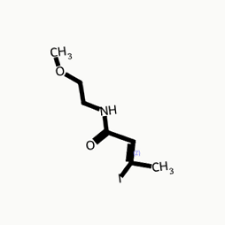 COCCNC(=O)/C=C(/C)I